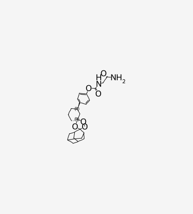 NC(=O)CNC(=O)Oc1ccc([C@@H]2CCC[C@]3(C2)OOC2(O3)C3CC4CC(C3)CC2C4)cc1